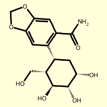 NC(=O)c1cc2c(cc1[C@@H]1C[C@H](O)[C@H](O)[C@@H](O)[C@@H]1CO)OCO2